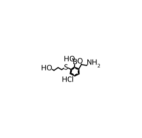 Cl.NCC1OB(O)c2c(SCCCO)cccc21